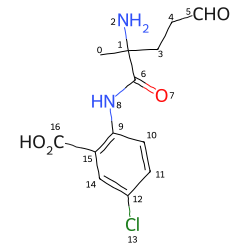 CC(N)(CCC=O)C(=O)Nc1ccc(Cl)cc1C(=O)O